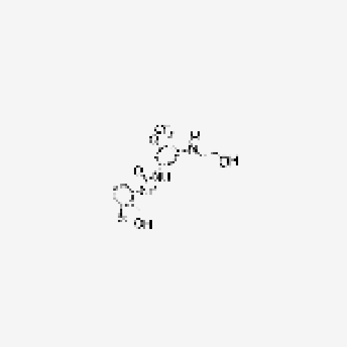 O=C(Nc1cc(NCCO)cc(OC(F)(F)F)c1)Nc1cccc(Br)c1CO